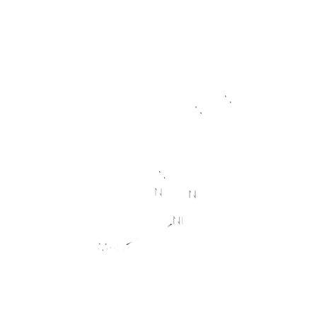 CO[C@H]1C[C@@H](Nc2ncc3c(-c4ccc5nccn5c4)ccn3n2)C1